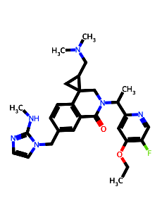 CCOc1cc(C(C)N2CC3(CC3CN(C)C)c3ccc(Cn4ccnc4NC)cc3C2=O)ncc1F